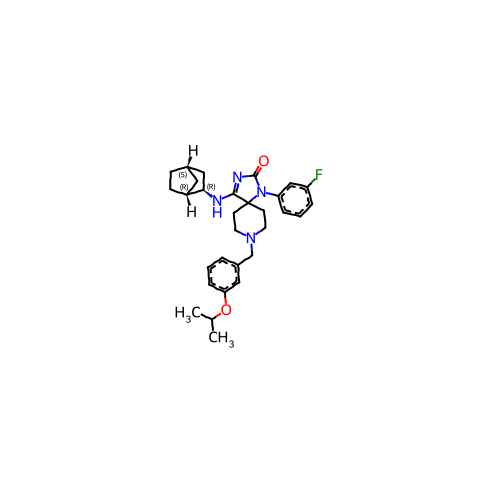 CC(C)Oc1cccc(CN2CCC3(CC2)C(N[C@@H]2C[C@H]4CC[C@@H]2C4)=NC(=O)N3c2cccc(F)c2)c1